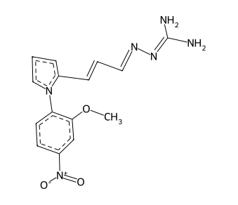 COc1cc([N+](=O)[O-])ccc1-n1cccc1/C=C/C=N/N=C(N)N